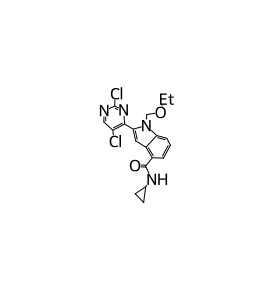 CCOCn1c(-c2nc(Cl)ncc2Cl)cc2c(C(=O)NC3CC3)cccc21